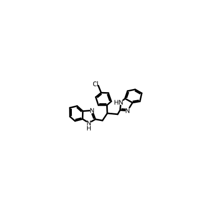 Clc1ccc(C(Cc2nc3ccccc3[nH]2)Cc2nc3ccccc3[nH]2)cc1